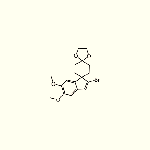 COc1cc2c(cc1OC)C1(CCC3(CC1)OCCO3)C(Br)=C2